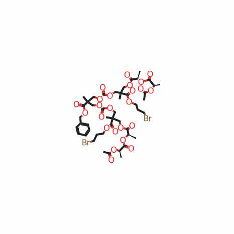 CC(=O)O[C@H](C)C(=O)O[C@H](C)C(=O)OCC(C)(COC(=O)OCC(C)(COC(=O)OCC(C)(COC(=O)[C@@H](C)OC(=O)[C@@H](C)OC(C)=O)C(=O)OCCCBr)C(=O)OCc1ccccc1)C(=O)OCCCBr